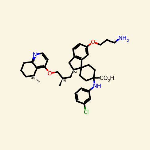 C[C@@H](COc1ccnc2c1[C@H](C)CCC2)C[C@H]1Cc2ccc(OCCCN)cc2C12CCC(Nc1cccc(Cl)c1)(C(=O)O)CC2